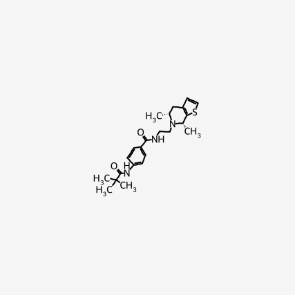 C[C@@H]1Cc2ccsc2[C@H](C)N1CCNC(=O)c1ccc(NC(=O)C(C)(C)C)cc1